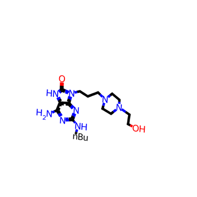 CCCCNc1nc(N)c2[nH]c(=O)n(CCCN3CCN(CCO)CC3)c2n1